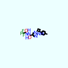 Cc1ccc(C2(Nc3ncc(C(=O)NNC(=O)C(F)(F)F)cn3)CCC2)cc1